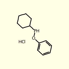 Cl.c1ccc(OPC2CCCCC2)cc1